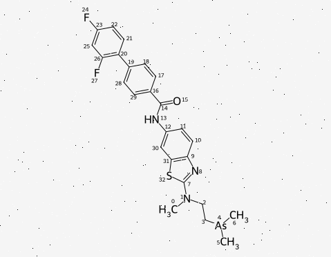 CN(CC[As](C)C)c1nc2ccc(NC(=O)c3ccc(-c4ccc(F)cc4F)cc3)cc2s1